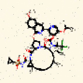 CC[C@@H]1C[C@@H](C)CC/C=C\[C@@H]2C[C@@]2(C(=O)NS(=O)(=O)C2CC2)NC(=O)[C@@H]2C[C@@H](Oc3nc(-c4ccc(OC(C)C)cn4)cc4cc(OC)ccc34)CN2C(=O)[C@H]1N(C(=O)O)C(C)(C)C(F)(F)F